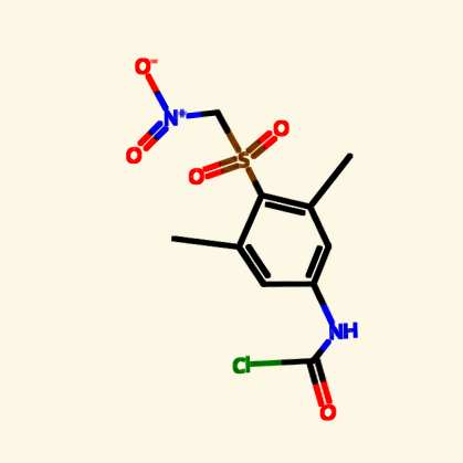 Cc1cc(NC(=O)Cl)cc(C)c1S(=O)(=O)C[N+](=O)[O-]